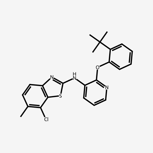 Cc1ccc2nc(Nc3cccnc3Oc3ccccc3C(C)(C)C)sc2c1Cl